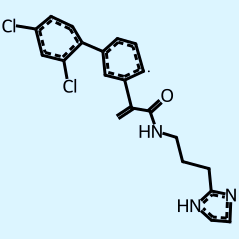 C=C(C(=O)NCCCc1ncc[nH]1)c1[c]ccc(-c2ccc(Cl)cc2Cl)c1